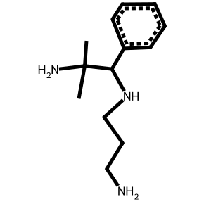 CC(C)(N)C(NCCCN)c1ccccc1